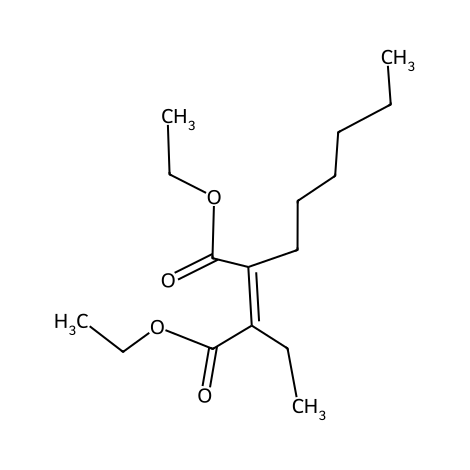 CCCCCC/C(C(=O)OCC)=C(\CC)C(=O)OCC